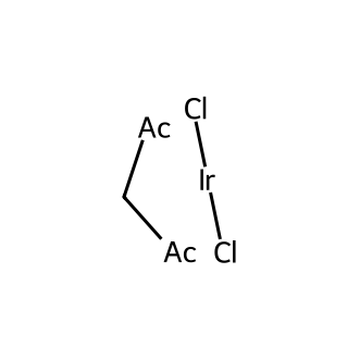 CC(=O)CC(C)=O.[Cl][Ir][Cl]